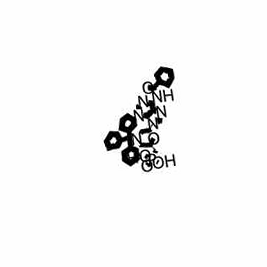 O=C(Nc1ncnc2c1ncn2[C@H]1CN(C(c2ccccc2)(c2ccccc2)c2ccccc2)C[C@@H](CP(=O)(O)O)O1)c1ccccc1